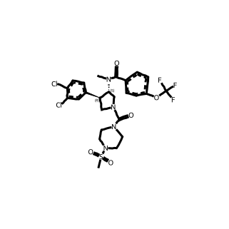 CN(C(=O)c1ccc(OC(F)(F)F)cc1)[C@@H]1CN(C(=O)N2CCN(S(C)(=O)=O)CC2)C[C@H]1c1ccc(Cl)c(Cl)c1